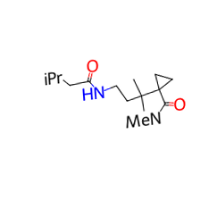 CNC(=O)C1(C(C)(C)CCNC(=O)CC(C)C)CC1